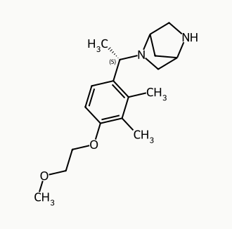 COCCOc1ccc([C@H](C)N2CC3CC2CN3)c(C)c1C